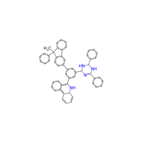 CC1(c2ccccc2)c2ccccc2-c2cc(-c3cc(C4=c5ccccc5=C5C=CC=CC5N4)cc(C4N=C(c5ccccc5)NC(c5ccccc5)N4)c3)ccc21